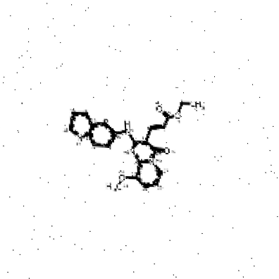 CCOC(=O)C=Cc1c(Nc2ccc3ncccc3c2)nc2c(OC)cccn2c1=O